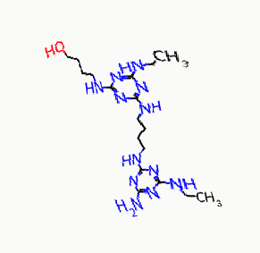 CCNc1nc(N)nc(NCCCCNc2nc(NCC)nc(NCCCCO)n2)n1